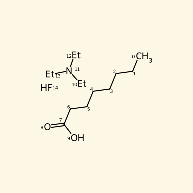 CCCCCCCC(=O)O.CCN(CC)CC.F